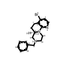 Brc1ccnc2c1CC[C@@H]1CN(Cc3ccccc3)CCN21